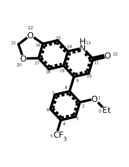 CCOc1cc(C(F)(F)F)ccc1-c1cc(=O)[nH]c2cc3c(cc12)OCO3